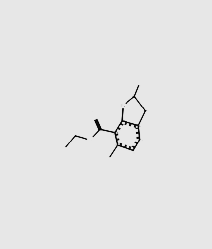 CCOC(=O)c1c(I)ccc2c1NC(C)C2